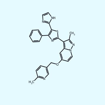 Cc1ccc(COc2ccn3nc(C)c(-c4nc(-c5ccccc5)c(-c5ncc[nH]5)s4)c3c2)cn1